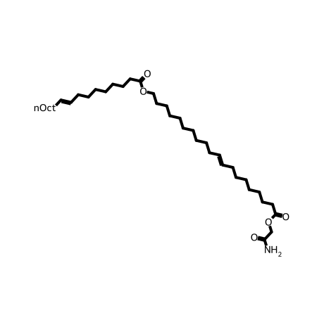 CCCCCCCCC=CCCCCCCCC(=O)OCCCCCCCCCCC=CCCCCCCCC(=O)OCC(N)=O